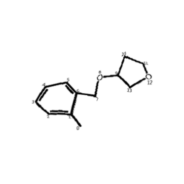 Cc1ccccc1COC1CCOC1